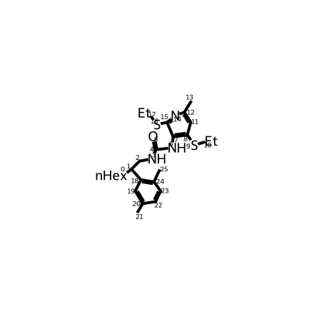 CCCCCCC(CNC(=O)Nc1c(SCC)cc(C)nc1SCC)c1cc(C)ccc1C